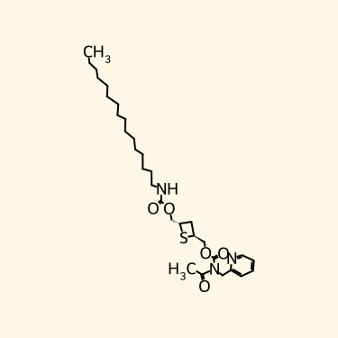 CCCCCCCCCCCCCCCCNC(=O)OC[C@@H]1C[C@@H](COC(=O)N(Cc2ccccn2)C(C)=O)S1